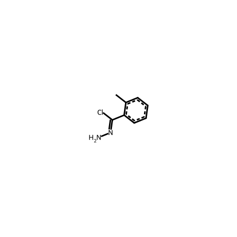 Cc1ccccc1C(Cl)=NN